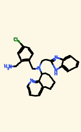 NCc1cc(Cl)ccc1CN(Cc1nc2ccccc2[nH]1)C1CCCc2cccnc21